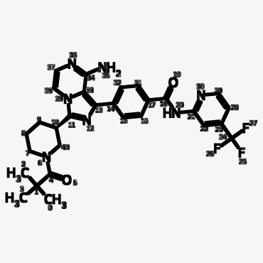 CC(C)(C)C(=O)N1CCC[C@@H](c2nc(-c3ccc(C(=O)Nc4cc(C(F)(F)F)ccn4)cc3)c3c(N)nccn23)C1